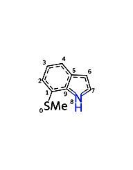 CSc1cccc2cc[nH]c12